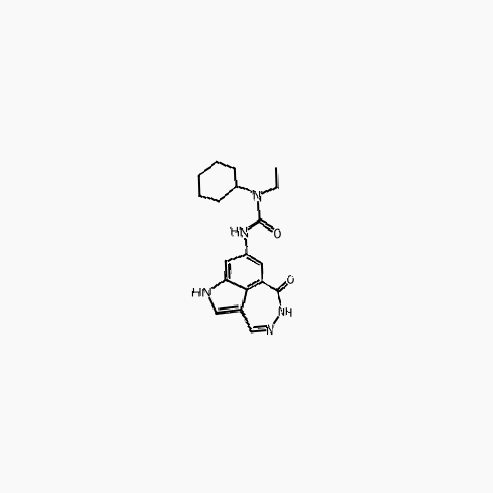 CCN(C(=O)Nc1cc2c3c(c[nH]c3c1)C=NNC2=O)C1CCCCC1